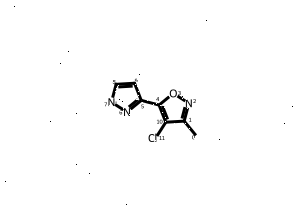 Cc1noc(C2=N[N]C=C2)c1Cl